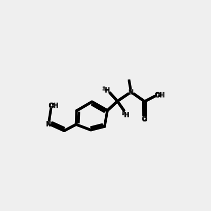 [2H]C([2H])(c1ccc(/C=N\O)cc1)N(C)C(=O)O